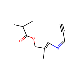 C#C/C=N\C=C(/C)COC(=O)C(C)C